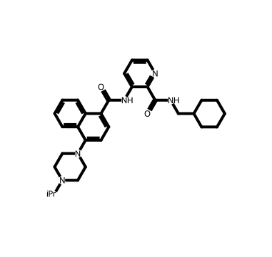 CC(C)N1CCN(c2ccc(C(=O)Nc3cccnc3C(=O)NCC3CCCCC3)c3ccccc23)CC1